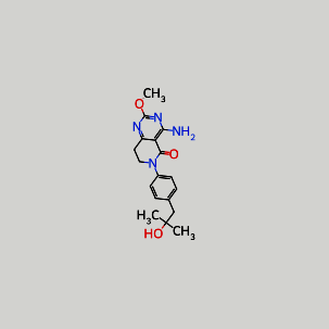 COc1nc(N)c2c(n1)CCN(c1ccc(CC(C)(C)O)cc1)C2=O